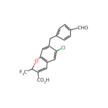 O=Cc1ccc(Cc2cc3c(cc2Cl)C=C(C(=O)O)C(C(F)(F)F)O3)cc1